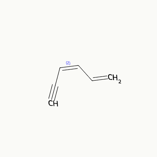 C#C/C=C\C=C